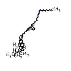 CCCCCCCC/C=C\CCCCCCCCOC[C@@H](COCCCCCCO[C@H]1CC[C@@]2(C)C(=CC[C@H]3C4CCC([C@H](C)CCCC(C)C)[C@@]4(C)CCC32)C1)N1CCCC1